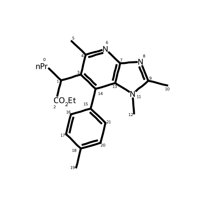 CCCC(C(=O)OCC)c1c(C)nc2nc(C)n(C)c2c1-c1ccc(C)cc1